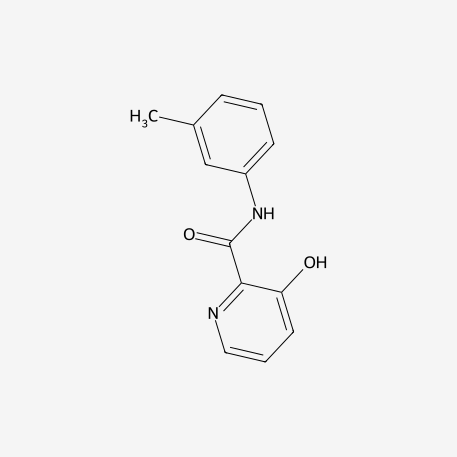 Cc1cccc(NC(=O)c2ncccc2O)c1